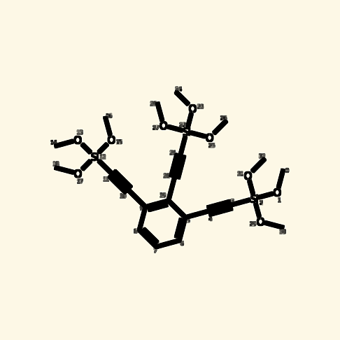 CO[Si](C#Cc1cccc(C#C[Si](OC)(OC)OC)c1C#C[Si](OC)(OC)OC)(OC)OC